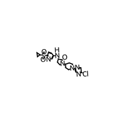 O=C1[C@@H](Nc2ccc(S(=O)(=O)C3CC3)nc2)CCN1C1CCN(c2cnc(Cl)cn2)CC1